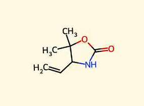 C=CC1NC(=O)OC1(C)C